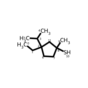 CCC1(C(C)C)CCC(C)(S)C1